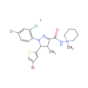 CC1C(C(=O)N[N+]2(C)CCCCC2)=NN(c2ccc(Cl)cc2Cl)C1c1cc(Br)cs1.[I-]